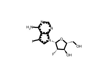 Nc1ncnc2c1c(I)cn2[C@@H]1O[C@H](CO)[C@@H](O)[C@@H]1F